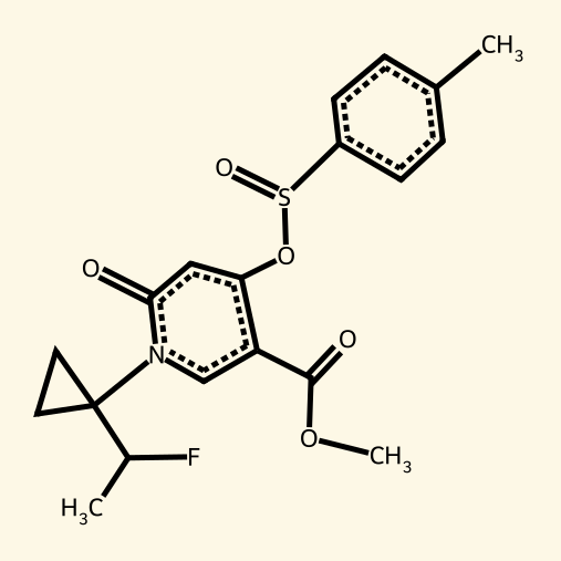 COC(=O)c1cn(C2(C(C)F)CC2)c(=O)cc1OS(=O)c1ccc(C)cc1